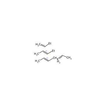 C/C=C/C.C/C=C/CC.C=CC.C=CCC